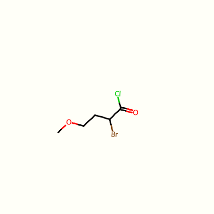 COCCC(Br)C(=O)Cl